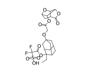 CCC1(OC(=O)C(F)(F)S(=O)(=O)O)C2CC3CC1CC(OCC(=O)OC1C4CC5C(=O)OC1C5O4)(C3)C2